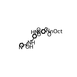 CCCCCCCCC(=O)N1CCc2cc(S(=O)(=O)Nc3ccc(CCNCC(O)c4cccnc4)cc3)ccc21